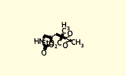 CCOC(=O)C(C)(C[C@H]1CNC(=O)O1)S(C)(=O)=O